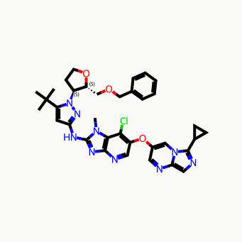 Cn1c(Nc2cc(C(C)(C)C)n([C@H]3CCO[C@@H]3COCc3ccccc3)n2)nc2ncc(Oc3cnc4cnc(C5CC5)n4c3)c(Cl)c21